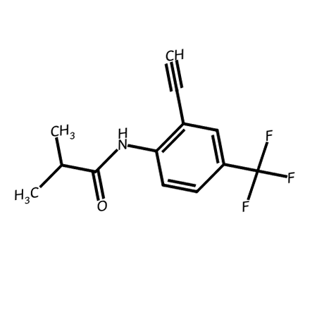 C#Cc1cc(C(F)(F)F)ccc1NC(=O)C(C)C